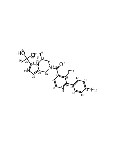 C[C@H]1CN(C(=O)c2ccnc(-c3ccc(F)cc3)c2F)Cc2cnc(C(C)(O)C(F)(F)F)n21